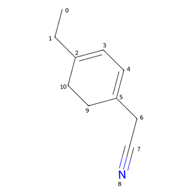 CCC1=CC=C(CC#N)CC1